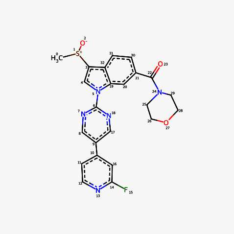 C[S+]([O-])c1cn(-c2ncc(-c3ccnc(F)c3)cn2)c2cc(C(=O)N3CCOCC3)ccc12